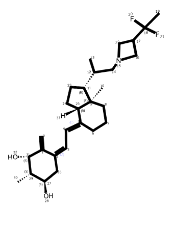 C=C1/C(=C\C=C2/CCC[C@]3(C)[C@@H](C(C)CN4CC(C(C)(F)F)C4)CC[C@@H]23)C[C@@H](O)[C@H](C)[C@@H]1O